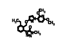 CCc1cccc(-n2nnn(C)c2=O)c1COc1ccn(-c2ccc(OC)nc2OC)n1